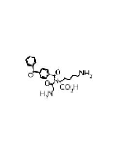 NCCCC[C@H](C(=O)O)N(C(=O)CN)C(=O)c1ccc(C(=O)c2ccccc2)cc1